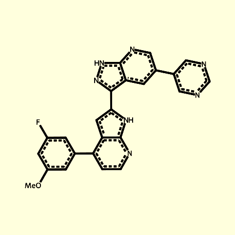 COc1cc(F)cc(-c2ccnc3[nH]c(-c4n[nH]c5ncc(-c6cncnc6)cc45)cc23)c1